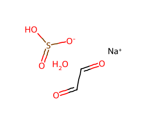 O.O=CC=O.O=S([O-])O.[Na+]